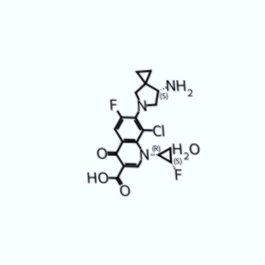 N[C@@H]1CN(c2c(F)cc3c(=O)c(C(=O)O)cn([C@@H]4C[C@@H]4F)c3c2Cl)CC12CC2.O